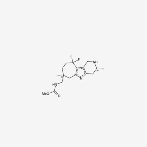 COC(=O)NC[C@@]1(C)CCC(F)(F)c2c3c(nn2C1)C[C@@H](C)NC3